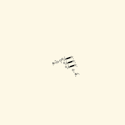 O=[N+]([O-])[O-].O=[N+]([O-])[O-].O=[N+]([O-])[O-].[Bi+3].[Bi+3].[Cl-].[Cl-].[Cl-]